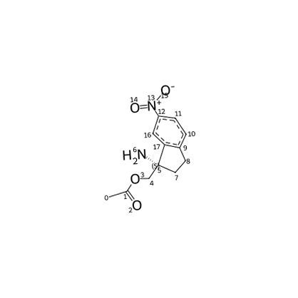 CC(=O)OC[C@]1(N)CCc2ccc([N+](=O)[O-])cc21